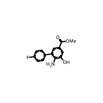 COC(=O)c1cc(O)c(N)c(-c2ccc(F)cc2)c1